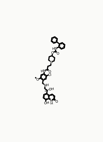 COc1cc(NC(=O)CCN2CCC(OC(=O)Nc3ccccc3-c3ccccc3)CC2)c(Cl)cc1CNC[C@H](O)c1ccc(O)c2[nH]c(=O)ccc12